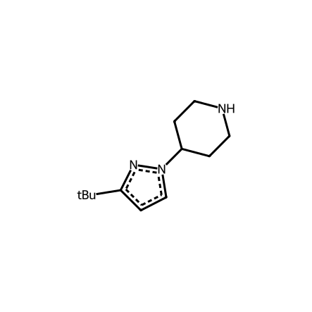 CC(C)(C)c1ccn(C2CCNCC2)n1